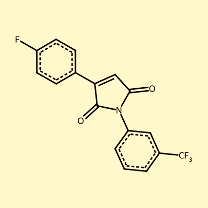 O=C1C=C(c2ccc(F)cc2)C(=O)N1c1cccc(C(F)(F)F)c1